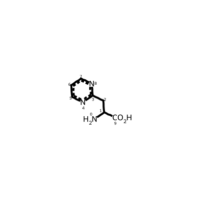 NC(Cc1ncccn1)C(=O)O